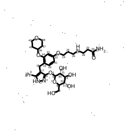 CC(C)c1[nH]nc(OC2OC(CO)[C@@H](O)C(O)[C@H]2O)c1Cc1ccc(OCCCNCCC(N)=O)cc1OC1CCOCC1